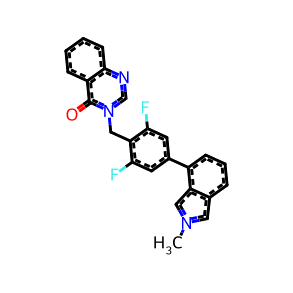 Cn1cc2cccc(-c3cc(F)c(Cn4cnc5ccccc5c4=O)c(F)c3)c2c1